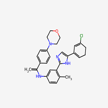 C=C(Nc1ccc(C)c(-c2ncc(C3=CCCC(Cl)=C3)[nH]2)c1)c1ccc(N2CCOCC2)cc1